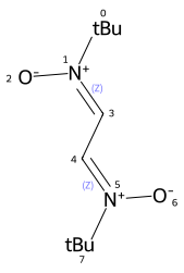 CC(C)(C)/[N+]([O-])=C/C=[N+](\[O-])C(C)(C)C